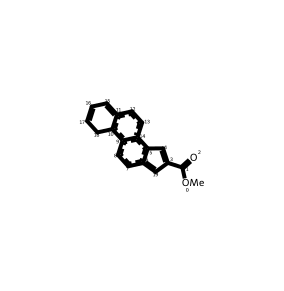 COC(=O)C1=Cc2c(ccc3c4c(ccc23)=CC=CC4)=C1